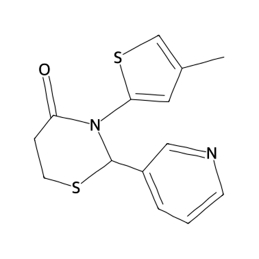 Cc1csc(N2C(=O)CCSC2c2cccnc2)c1